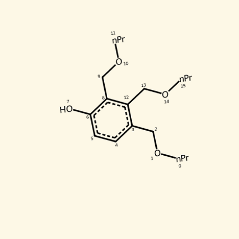 CCCOCc1ccc(O)c(COCCC)c1COCCC